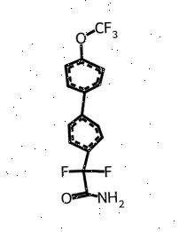 NC(=O)C(F)(F)c1ccc(-c2ccc(OC(F)(F)F)cc2)cc1